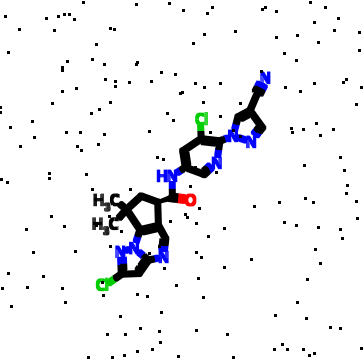 CC1(C)C[C@@H](C(=O)Nc2cnc(-n3cc(C#N)cn3)c(Cl)c2)c2cnc3cc(Cl)nn3c21